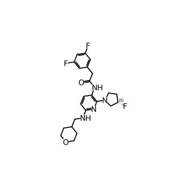 O=C(Cc1cc(F)cc(F)c1)Nc1ccc(NCC2CCOCC2)nc1N1CC[C@H](F)C1